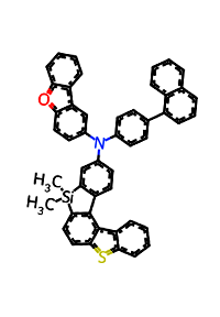 C[Si]1(C)c2cc(N(c3ccc(-c4cccc5ccccc45)cc3)c3ccc4oc5ccccc5c4c3)ccc2-c2c1ccc1sc3ccccc3c21